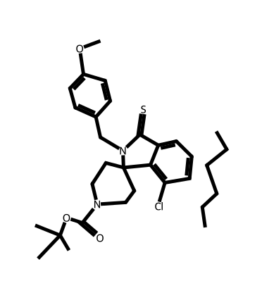 CCCCCC.COc1ccc(CN2C(=S)c3cccc(Cl)c3C23CCN(C(=O)OC(C)(C)C)CC3)cc1